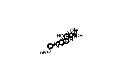 CCCOc1cccc(-n2cc3c(n2)C=C2CC[C@H]4[C@@H]5C[C@H]6OC(C)(C)O[C@@]6(C(=O)CO)[C@@]5(C)C[C@H](O)[C@]4(F)[C@@]2(C)C3)c1